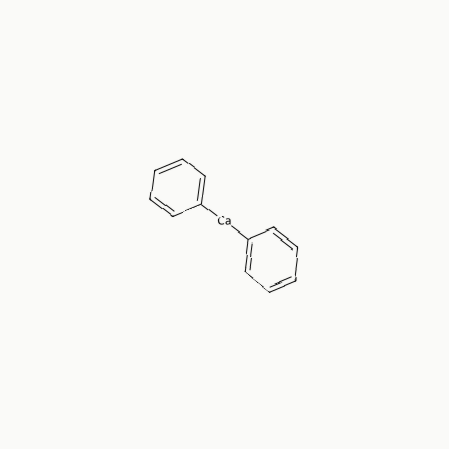 c1cc[c]([Ca][c]2ccccc2)cc1